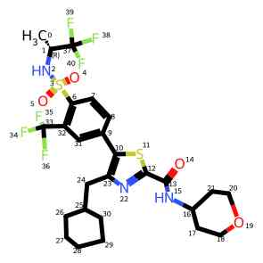 C[C@@H](NS(=O)(=O)c1ccc(-c2sc(C(=O)NC3CCOCC3)nc2CC2CCCCC2)cc1C(F)(F)F)C(F)(F)F